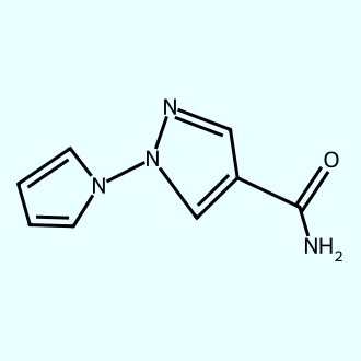 NC(=O)c1cnn(-n2cccc2)c1